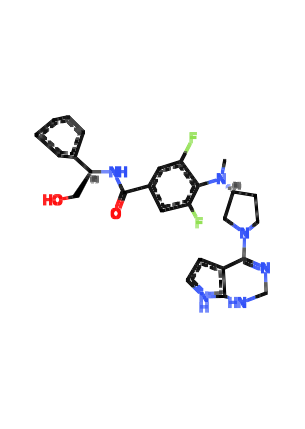 CN(c1c(F)cc(C(=O)N[C@@H](CO)c2ccccc2)cc1F)[C@@H]1CCN(C2=NCNc3[nH]ccc32)C1